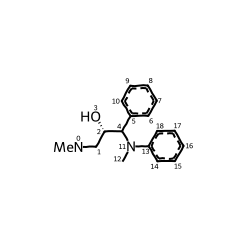 CNC[C@H](O)C(c1ccccc1)N(C)c1ccccc1